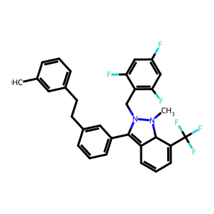 [CH]c1cccc(CCc2cccc(C3=C4C=CC=C(C(F)(F)F)C4N(C)N3Cc3c(F)cc(F)cc3F)c2)c1